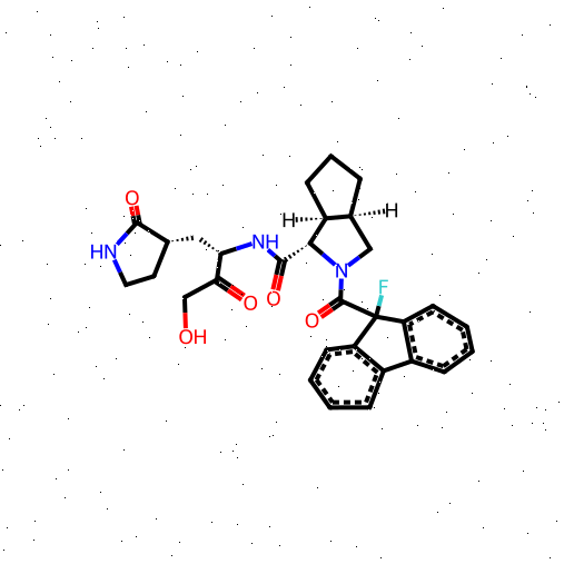 O=C1NCC[C@H]1C[C@H](NC(=O)[C@@H]1[C@H]2CCC[C@H]2CN1C(=O)C1(F)c2ccccc2-c2ccccc21)C(=O)CO